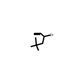 C=CC(CC)CC(C)(C)C